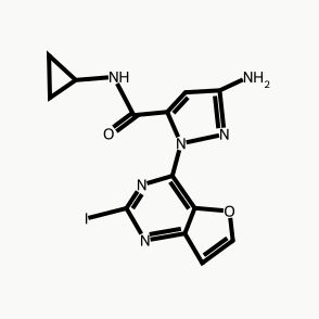 Nc1cc(C(=O)NC2CC2)n(-c2nc(I)nc3ccoc23)n1